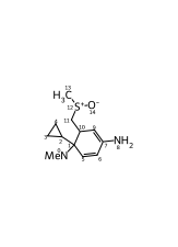 CNC1(C2CC2)C=CC(N)=CC1C[S+](C)[O-]